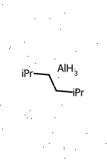 [AlH3].[CH2]C(C)CCC(C)C